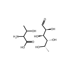 CC(O)C(N)C(=O)O.C[C@H](O)[C@@H](O)[C@@H](O)[C@H](O)C=O